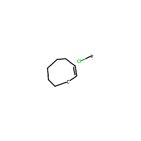 C1=CCCCCCC1.[Cl][Ir]